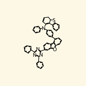 C1=CC(N(c2ccccc2)c2ccc(-c3cccc4oc5cc(-c6nc(-c7ccccc7)nc(-c7ccccc7)n6)ccc5c34)cc2)=C2c3ccccc3SC2C1